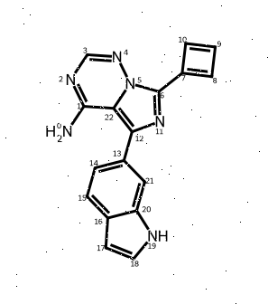 Nc1ncnn2c(C3=CC=C3)nc(-c3ccc4cc[nH]c4c3)c12